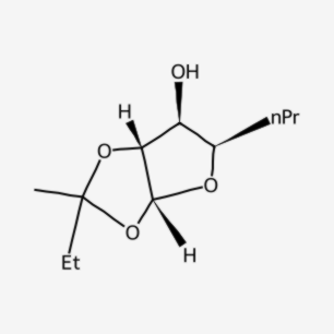 CCC[C@H]1O[C@@H]2OC(C)(CC)O[C@@H]2[C@H]1O